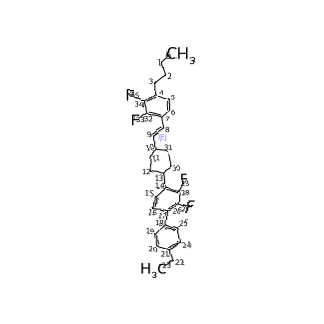 CCCCc1ccc(/C=C/C2CCC(c3ccc(-c4ccc(CC)cc4)c(F)c3F)CC2)c(F)c1F